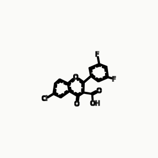 O=C(O)c1c(-c2cc(F)cc(F)c2)oc2ccc(Cl)cc2c1=O